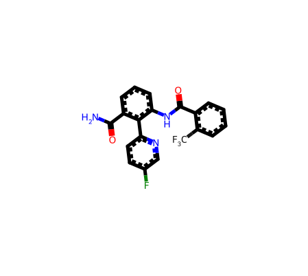 NC(=O)c1cccc(NC(=O)c2ccccc2C(F)(F)F)c1-c1ccc(F)cn1